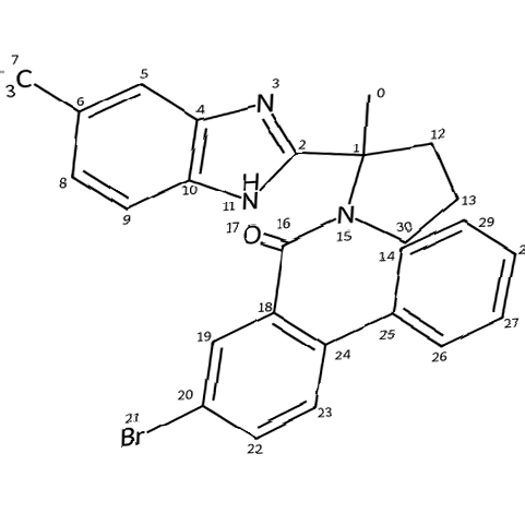 CC1(c2nc3cc(C(F)(F)F)ccc3[nH]2)CCCN1C(=O)c1cc(Br)ccc1-c1ccccc1